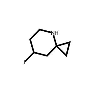 IC1CCNC2(CC2)C1